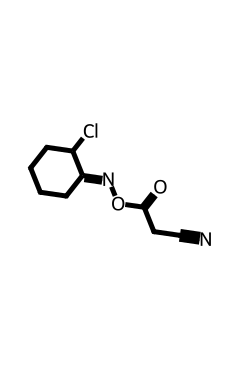 N#CCC(=O)ON=C1CCCCC1Cl